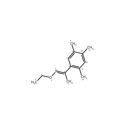 CCO/N=C(\C)c1cc(C)c(C)cc1C